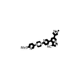 CSc1ccc(N2CCN(c3ccc(-c4cc(-c5cnn(C)c5)cn5ncc(C#N)c45)cn3)CC2)cn1